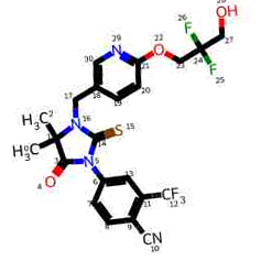 CC1(C)C(=O)N(c2ccc(C#N)c(C(F)(F)F)c2)C(=S)N1Cc1ccc(OCC(F)(F)CO)nc1